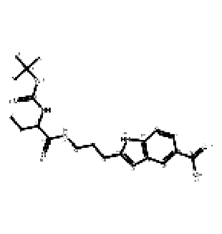 CCC(NC(=O)OC(C)(C)C)C(=O)NCCCc1cc2cc(C(=O)O)ccc2[nH]1